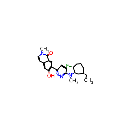 CC[C@@H]1CCC[C@H](F)[C@H](N(C)c2ccc(-c3cc4c(=O)n(C)ccc4cc3O)nn2)C1